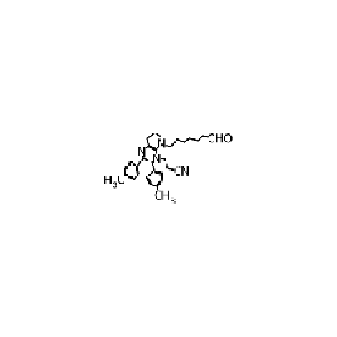 Cc1ccc(C2=NC3=C(N(CCCCCCC=O)CCC3)N(CCC#N)C2c2ccc(C)cc2)cc1